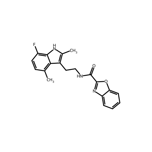 Cc1[nH]c2c(F)ccc(C)c2c1CCNC(=O)c1nc2ccccc2o1